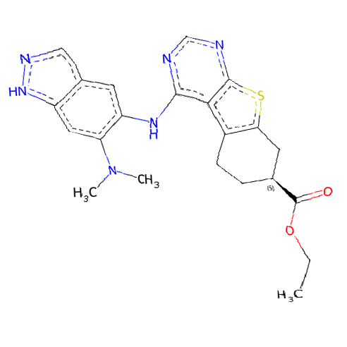 CCOC(=O)[C@H]1CCc2c(sc3ncnc(Nc4cc5cn[nH]c5cc4N(C)C)c23)C1